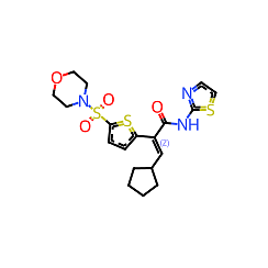 O=C(Nc1nccs1)/C(=C/C1CCCC1)c1ccc(S(=O)(=O)N2CCOCC2)s1